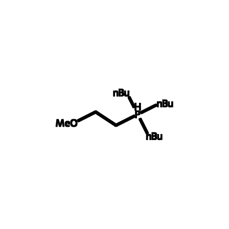 CCCC[PH](CCCC)(CCCC)CCOC